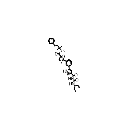 CCC(CC)NC(=O)NC(=O)c1cc(-c2cccc(-c3ncc(C(=O)NC(C)(C)CCc4ccccc4)o3)c2)[nH]n1